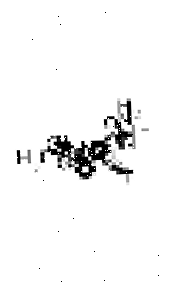 CCCc1nc(CC)c(C(N)=O)n1Cc1ccc(-c2ccccc2S(=O)(=O)Nc2noc(C)c2C)c(COCCF)c1